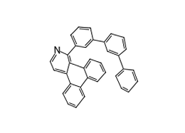 c1ccc(-c2cccc(-c3cccc(-c4nccc5c6ccccc6c6ccccc6c45)c3)c2)cc1